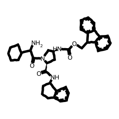 NC(C(=O)N1C[C@@H](NC(=O)OCC2c3ccccc3-c3ccccc32)C[C@H]1C(=O)NC1CCCc2ccccc21)C1CCCCC1